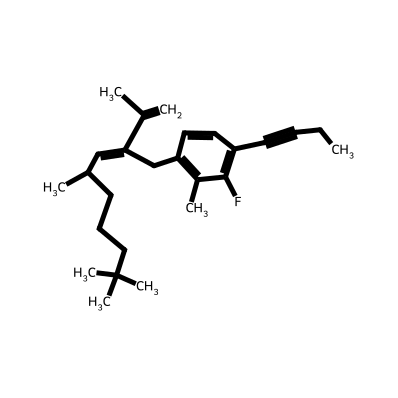 C=C(C)/C(=C/C(C)CCCC(C)(C)C)Cc1ccc(C#CCC)c(F)c1C